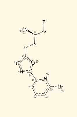 N[C@@H](CF)CCc1nnc(-c2cccc(Br)n2)o1